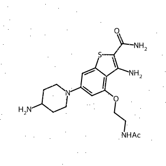 CC(=O)NCCOc1cc(N2CCC(N)CC2)cc2sc(C(N)=O)c(N)c12